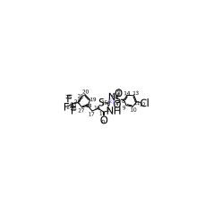 O=C1N/C(=N\S(=O)(=O)c2ccc(Cl)cc2)SC1Cc1cccc(C(F)(F)F)c1